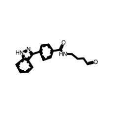 O=CCCCNC(=O)c1ccc(-c2n[nH]c3ccccc23)cc1